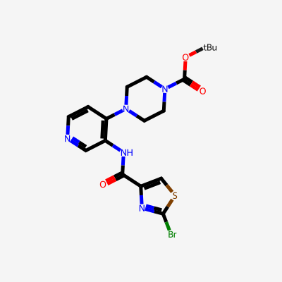 CC(C)(C)OC(=O)N1CCN(c2ccncc2NC(=O)c2csc(Br)n2)CC1